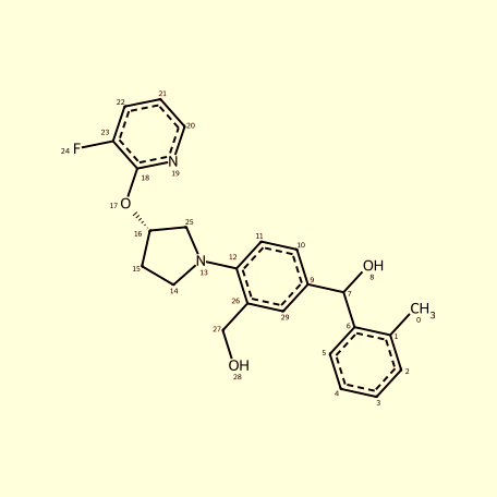 Cc1ccccc1C(O)c1ccc(N2CC[C@H](Oc3ncccc3F)C2)c(CO)c1